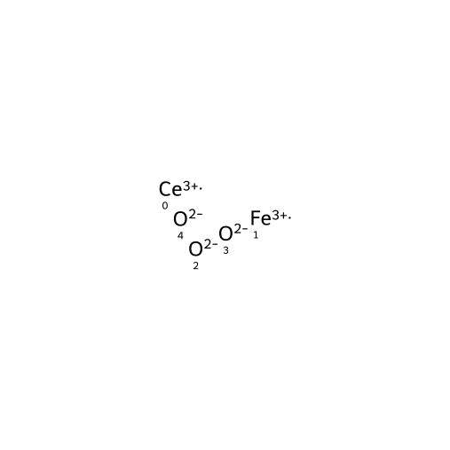 [Ce+3].[Fe+3].[O-2].[O-2].[O-2]